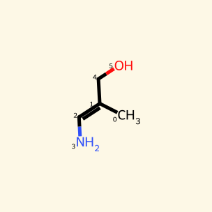 C/C(=C\N)CO